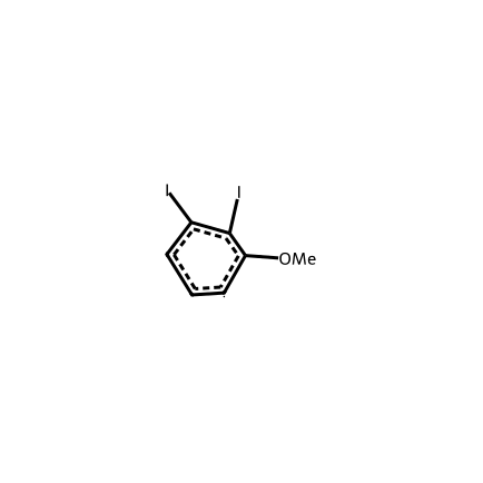 COc1[c]ccc(I)c1I